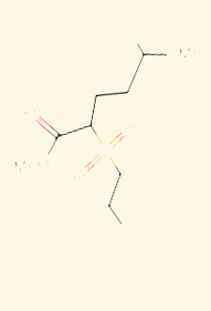 COC(=O)C(CCC(SC)C(F)(F)F)S(=O)(=O)CCC(F)(F)F